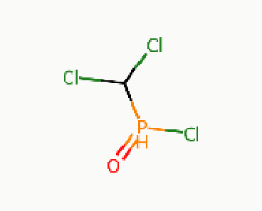 O=[PH](Cl)C(Cl)Cl